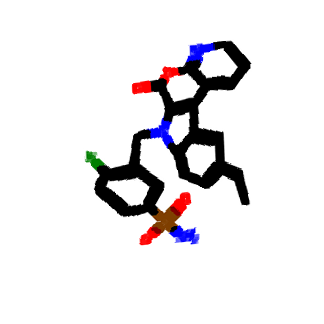 CCc1ccc2c(c1)c1c3cccnc3oc(=O)c1n2Cc1cc(S(N)(=O)=O)ccc1F